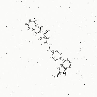 O=c1[nH]c2cccc(N3CCN(CCCNS(=O)(=O)c4cc5ccccc5s4)CC3)c2o1